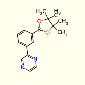 CC1(C)OB(c2cccc(-c3cnccn3)c2)OC1(C)C